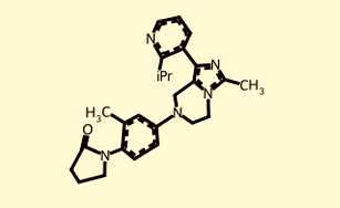 Cc1cc(N2CCn3c(C)nc(-c4cccnc4C(C)C)c3C2)ccc1N1CCCC1=O